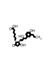 CCCc1cc(CC(O)/C=C/[C@H]2[C@H](O)CC(=O)[C@@H]2CCCCCCC(=O)O)ccc1O